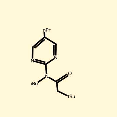 CCCc1cnc(N(C(=O)CC(C)(C)C)C(C)CC)nc1